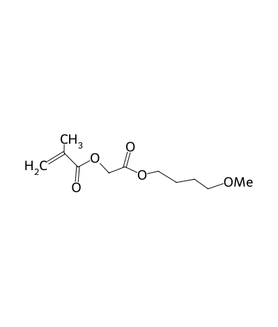 C=C(C)C(=O)OCC(=O)OCCCCOC